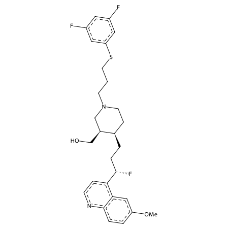 COc1ccc2nccc([C@@H](F)CC[C@@H]3CCN(CCCSc4cc(F)cc(F)c4)C[C@@H]3CO)c2c1